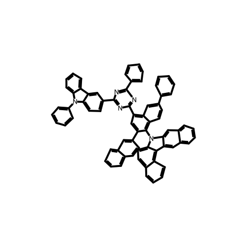 c1ccc(-c2ccc3c(-n4c5cc6ccccc6cc5c5c6ccccc6ccc54)c(-c4ccc5ccccc5c4)cc(-c4nc(-c5ccccc5)nc(-c5ccc6c(c5)c5ccccc5n6-c5ccccc5)n4)c3c2)cc1